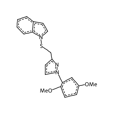 COc1ccc(OC)c(-n2ccc(CSn3ccc4ccccc43)n2)c1